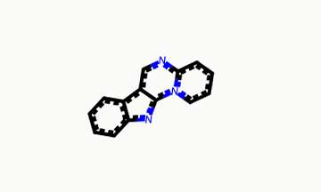 c1ccc2c3cnc4ccccn4c-3nc2c1